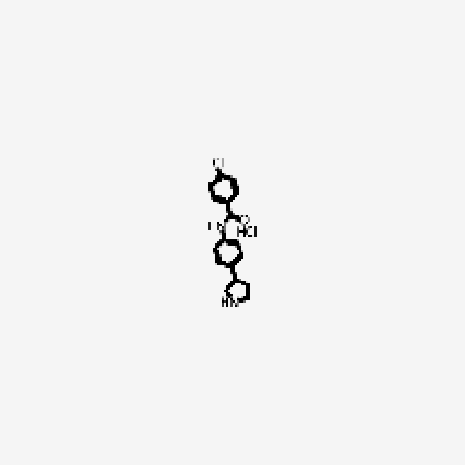 Cl.O=C(Nc1ccc(C2CCNC2)cc1)c1ccc(Cl)cc1